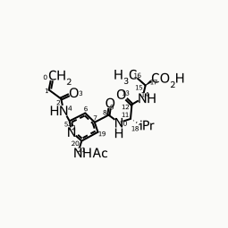 C=CC(=O)Nc1cc(C(=O)N[C@H](C(=O)N[C@@H](C)C(=O)O)C(C)C)cc(NC(C)=O)n1